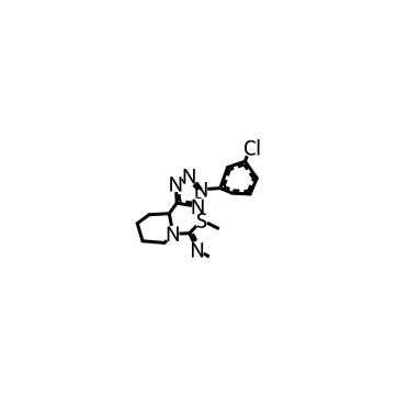 C/N=C(\SC)N1CCCCC1c1nnn(-c2cccc(Cl)c2)n1